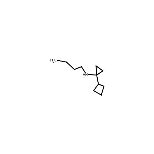 [CH2]CCCNC1(C2CCC2)CC1